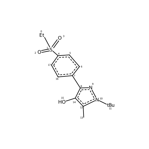 CCS(=O)(=O)c1ccc(-c2nn(C(C)(C)C)c(C)c2O)cc1